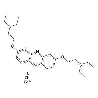 CCN(CC)CCOc1ccc2cc3ccc(OCCN(CC)CC)cc3nc2c1.[Cl-].[Cl-].[Fe+2]